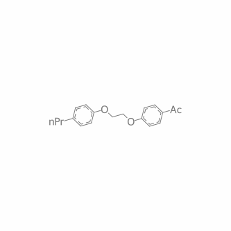 CCCc1ccc(OCCOc2ccc(C(C)=O)cc2)cc1